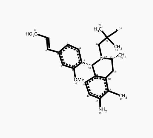 COc1cc(/C=C/C(=O)O)ccc1[C@H]1c2ccc(N)c(C)c2C[C@@H](C)N1CC(C)(C)F